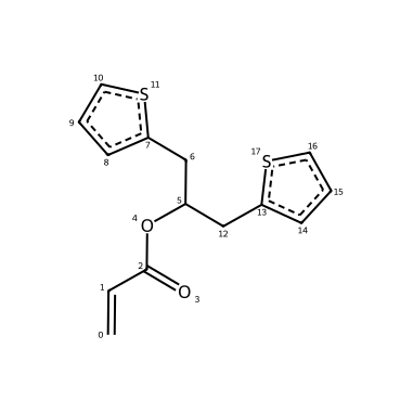 C=CC(=O)OC(Cc1cccs1)Cc1cccs1